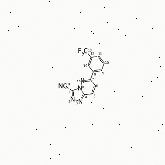 N#Cc1nnc2ccc(-c3cccc(C(F)(F)F)c3)nn12